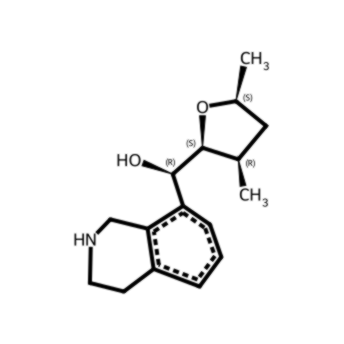 C[C@@H]1C[C@H](C)O[C@@H]1[C@H](O)c1cccc2c1CNCC2